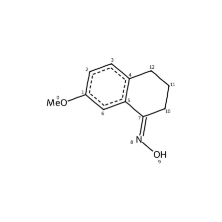 COc1ccc2c(c1)/C(=N/O)CCC2